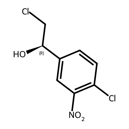 O=[N+]([O-])c1cc([C@@H](O)CCl)ccc1Cl